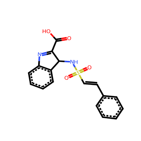 O=C(O)C1=Nc2ccccc2C1NS(=O)(=O)/C=C/c1ccccc1